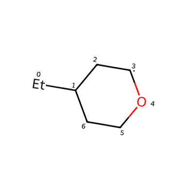 CCC1C[CH]OCC1